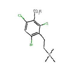 C[Si](C)(C)CCc1c(Br)cc(Cl)c(C(=O)O)c1Cl